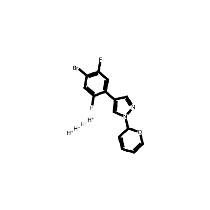 Fc1cc(-c2cnn(C3C=CC=CO3)c2)c(F)cc1Br.[H+].[H+].[H+].[H+]